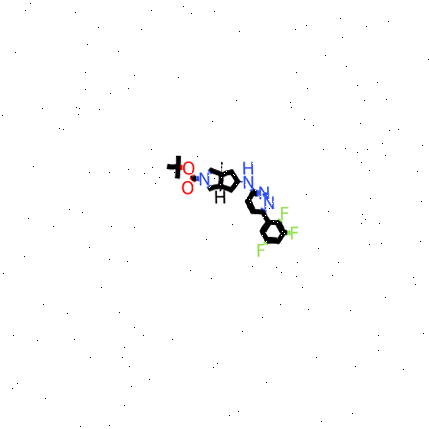 CC(C)(C)OC(=O)N1C[C@@H]2C[C@@H](Nc3ccc(-c4cc(F)cc(F)c4F)nn3)C[C@]2(C)C1